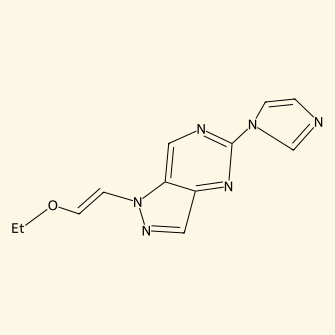 CCOC=Cn1ncc2nc(-n3ccnc3)ncc21